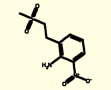 CS(=O)(=O)CCc1cccc([N+](=O)[O-])c1N